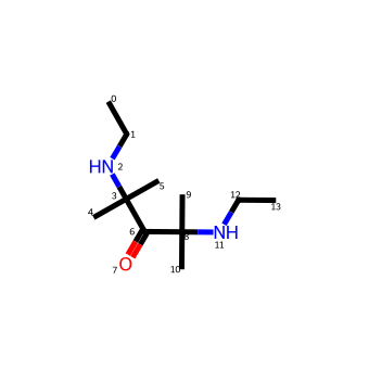 CCNC(C)(C)C(=O)C(C)(C)NCC